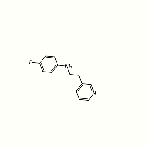 Fc1ccc(NCCc2cccnc2)cc1